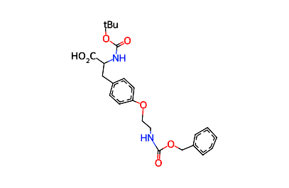 CC(C)(C)OC(=O)NC(Cc1ccc(OCCNC(=O)OCc2ccccc2)cc1)C(=O)O